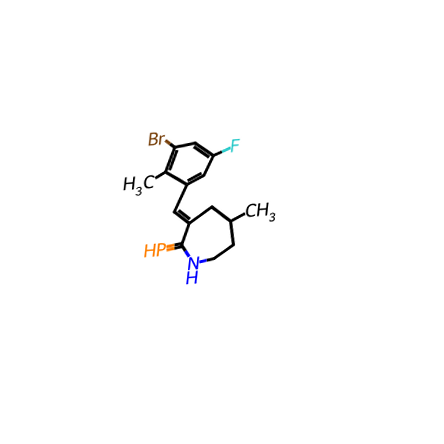 Cc1c(Br)cc(F)cc1/C=C1\CC(C)CCNC1=P